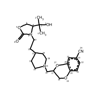 CC(C)(O)C1COC(=O)N1CCC1CCN(CC2COc3ccc(C#N)cc3O2)CC1